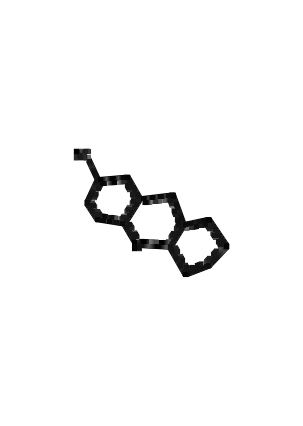 N#Cc1ccc2nc3ccccc3cc2c1